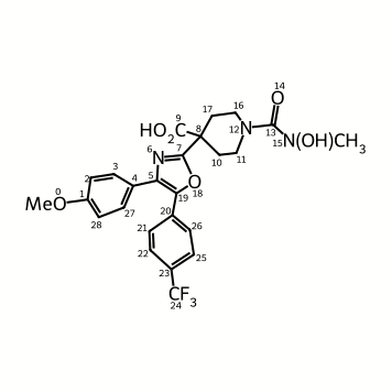 COc1ccc(-c2nc(C3(C(=O)O)CCN(C(=O)N(C)O)CC3)oc2-c2ccc(C(F)(F)F)cc2)cc1